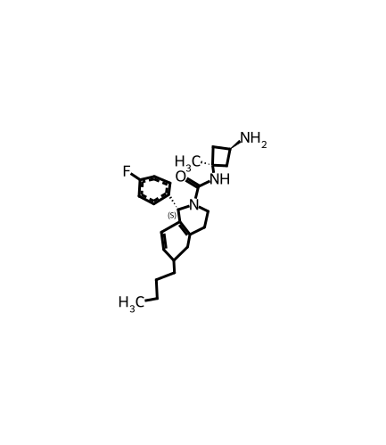 CCCCC1C=CC2=C(CCN(C(=O)N[C@]3(C)C[C@H](N)C3)[C@H]2c2ccc(F)cc2)C1